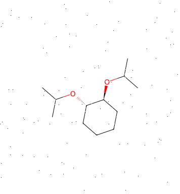 CC(C)O[C@H]1CCCC[C@@H]1OC(C)C